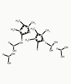 Cc1n(C)c([S-])n[n+]1C.Cc1n(C)c([S-])n[n+]1C.OB(O)F.OB(O)F.OB(O)F.OB(O)F